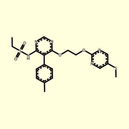 CCS(=O)(=O)Nc1ncnc(OCCOc2ncc(SC)cn2)c1-c1ccc(C)cc1